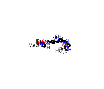 COC(=O)NC(C(=O)N1CCC[C@H]1c1ncc(-c2ccc3c(c2)nc(C)n2c4ccc(-c5cnc([C@@H]6CCCN6C(=O)C(NC(=O)O)C(C)C)[nH]5)cc4cc32)[nH]1)C(C)C